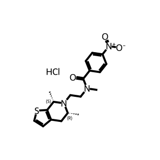 C[C@@H]1Cc2ccsc2[C@H](C)N1CCN(C)C(=O)c1ccc([N+](=O)[O-])cc1.Cl